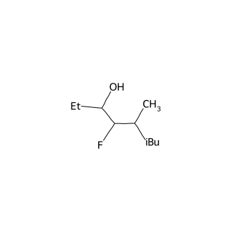 CCC(C)C(C)C(F)C(O)CC